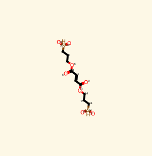 O=C(/C=C/C(=O)OCCC[SH](=O)=O)OCCC[SH](=O)=O